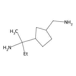 CCC(C)(N)C1CCC(CN)C1